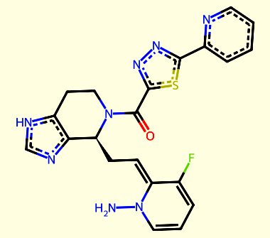 NN1C=CC=C(F)/C1=C/C[C@H]1c2nc[nH]c2CCN1C(=O)c1nnc(-c2ccccn2)s1